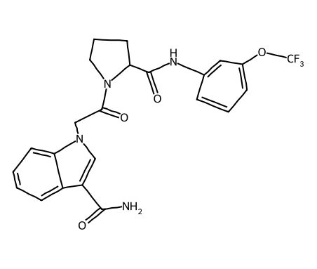 NC(=O)c1cn(CC(=O)N2CCCC2C(=O)Nc2cccc(OC(F)(F)F)c2)c2ccccc12